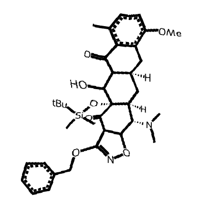 COc1ccc(C)c2c1C[C@H]1C[C@H]3[C@H](N(C)C)C4ON=C(OCc5ccccc5)C4C(=O)[C@@]3(O[Si](C)(C)C(C)(C)C)C(O)C1C2=O